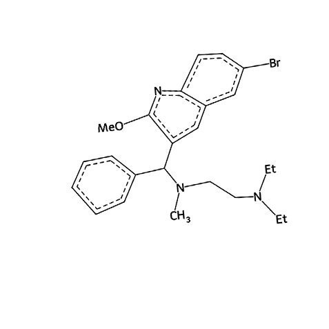 CCN(CC)CCN(C)C(c1ccccc1)c1cc2cc(Br)ccc2nc1OC